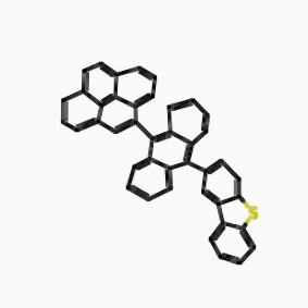 c1cc2ccc3cccc4c(-c5c6ccccc6c(-c6ccc7sc8ccccc8c7c6)c6ccccc56)cc(c1)c2c34